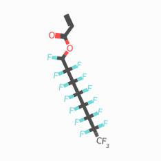 C=CC(=O)OC(F)C(F)(F)C(F)(F)C(F)(F)C(F)(F)C(F)(F)C(F)(F)C(F)(F)F